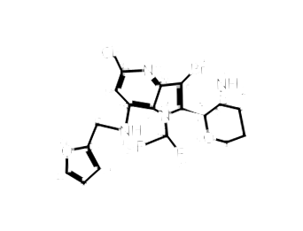 N[C@@H]1CCCO[C@H]1c1c(Br)c2nc(Cl)cc(NCc3ccco3)c2n1C(F)F